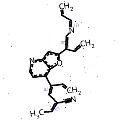 C=C/C=N\C=C(/C=C)c1cc2nccc(/C(C=C)=C/C(C#N)=C\C)c2o1